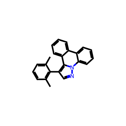 Cc1cccc(C)c1-c1cnn2c3ccccc3c3ccccc3c12